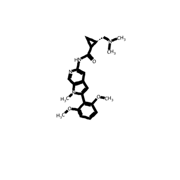 COc1cccc(OC)c1-c1cc2cc(NC(=O)C3C[C@@H]3CN(C)C)ncc2n1C